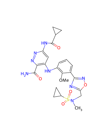 COc1c(Nc2cc(NC(=O)C3CC3)nnc2C(N)=O)cccc1-c1noc(CN(C)S(=O)(=O)C2CC2)n1